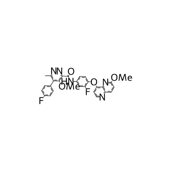 COc1ccc2nccc(Oc3ccc(NC(=O)c4nnc(C)c(-c5ccc(F)cc5)c4OC)cc3F)c2n1